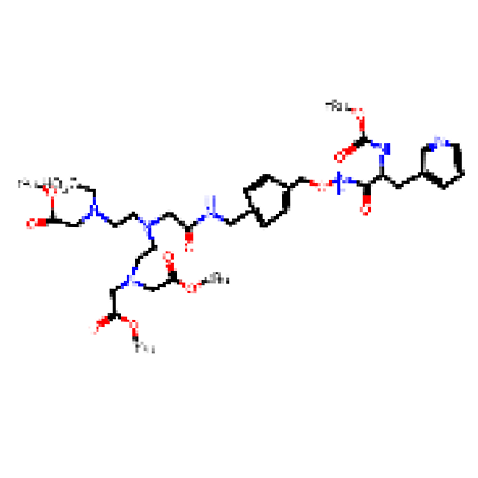 CC(C)(C)OC(=O)CN(CCN(CCN(CC(=O)OC(C)(C)C)CC(=O)OC(C)(C)C)CC(=O)NCc1ccc(CONC(=O)C(Cc2cccnc2)NC(=O)OC(C)(C)C)cc1)CC(=O)O